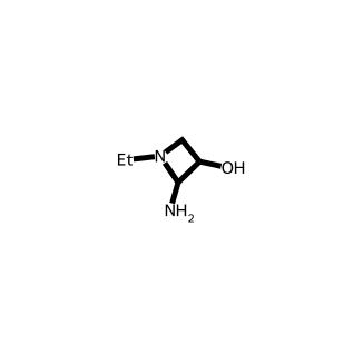 CCN1CC(O)C1N